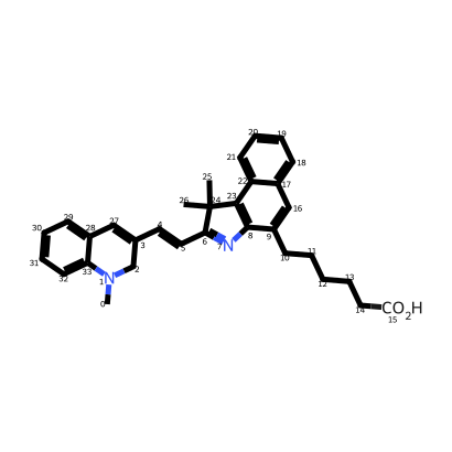 CN1CC(C=CC2=Nc3c(CCCCCC(=O)O)cc4ccccc4c3C2(C)C)=Cc2ccccc21